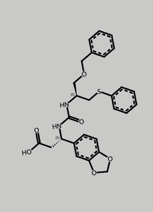 O=C(O)C[C@H](NC(=O)N[C@@H](COCc1ccccc1)CSc1ccccc1)c1ccc2c(c1)OCO2